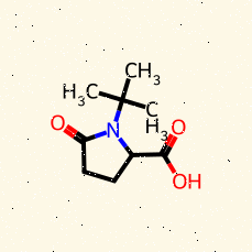 CC(C)(C)N1C(=O)CCC1C(=O)O